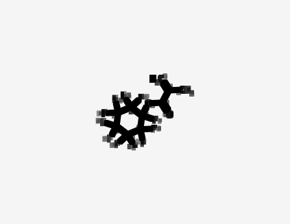 C=C(C)C(=O)OC1(F)C(F)(F)C(F)(F)C(F)(F)C(F)(F)C1(F)F